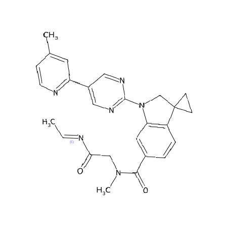 C/C=N/C(=O)CN(C)C(=O)c1ccc2c(c1)N(c1ncc(-c3cc(C)ccn3)cn1)CC21CC1